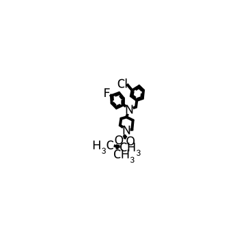 CC(C)(C)OC(=O)N1CCC(N(Cc2cccc(Cl)c2)c2ccc(F)cc2)CC1